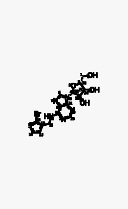 OC[C@H]1O[C@@H](n2cnc3c(NCc4ccsc4Br)ncnc32)[C@H](O)[C@@H]1O